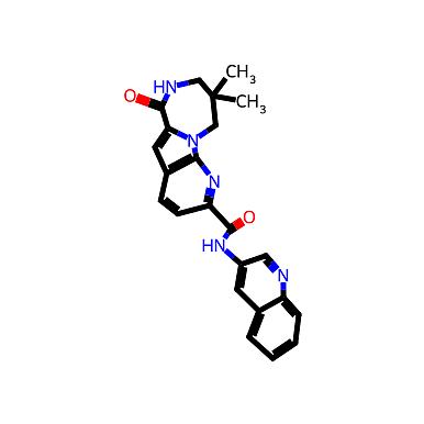 CC1(C)CNC(=O)c2cc3ccc(C(=O)Nc4cnc5ccccc5c4)nc3n2C1